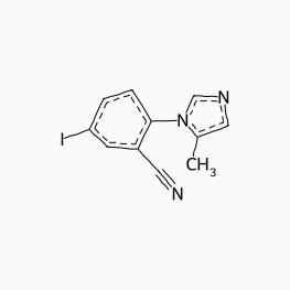 Cc1cncn1-c1ccc(I)cc1C#N